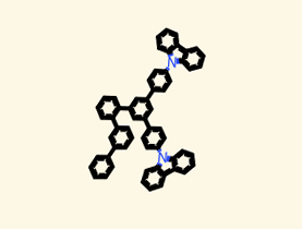 c1ccc(-c2cccc(-c3ccccc3-c3cc(-c4ccc(-n5c6ccccc6c6ccccc65)cc4)cc(-c4ccc(-n5c6ccccc6c6ccccc65)cc4)c3)c2)cc1